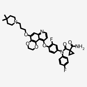 CC1(C)CCN(CCCOc2cc3nccc(Oc4ccc(N(C(=O)C5(C(N)=O)CC5)c5ccc(F)cc5)cc4F)c3c3c2OCCO3)CC1